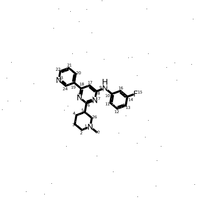 CN1CCCC(c2nc(Nc3cccc(F)c3)cc(-c3cccnc3)n2)C1